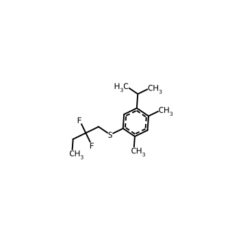 CCC(F)(F)CSc1cc(C(C)C)c(C)cc1C